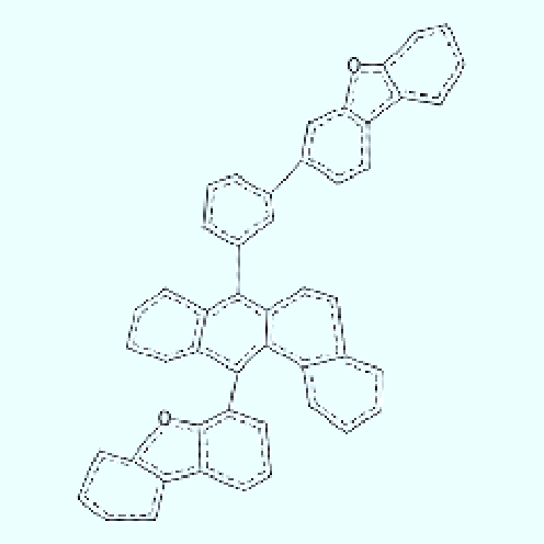 c1cc(-c2ccc3c(c2)oc2ccccc23)cc(-c2c3ccccc3c(-c3cccc4c3oc3ccccc34)c3c2ccc2ccccc23)c1